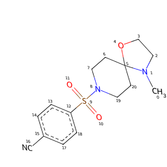 CN1CCOC12CCN(S(=O)(=O)c1ccc(C#N)cc1)CC2